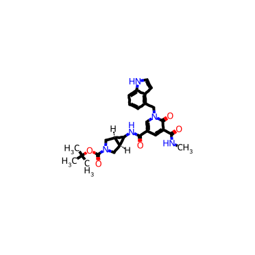 CNC(=O)c1cc(C(=O)NC2[C@H]3CN(C(=O)OC(C)(C)C)C[C@@H]23)cn(Cc2cccc3[nH]ccc23)c1=O